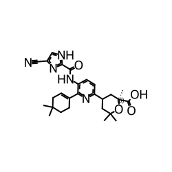 CC1(C)CC=C(c2nc(C3CC(C)(C)O[C@](C)(C(=O)O)C3)ccc2NC(=O)c2nc(C#N)c[nH]2)CC1